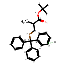 CC(C)(C)OC(=O)C([AsH2])CSC(c1ccccc1)(c1ccccc1)c1ccccc1.Cl